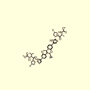 COC(=O)N[C@@H](C)C(=O)N1C[C@H](F)C[C@H]1c1ncc(-c2ccc3c(c2)OC(C2CC2)C2=C3COc3cc(-c4cnc([C@@H]5C[C@@H](F)CN5C(=O)[C@@H](NC(=O)OC)C(C)C)[nH]4)ccc32)[nH]1